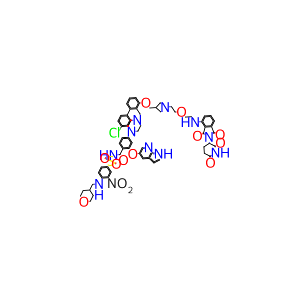 O=C1CCC(N2C(=O)c3cccc(NCCOCCN4CC(COc5cccc(-c6ccc(Cl)cc6)c5CN5CCN(c6ccc(C(=O)NS(=O)(=O)c7ccc(NCC8CCOCC8)c([N+](=O)[O-])c7)c(Oc7cnc8[nH]ccc8c7)c6)CC5)C4)c3C2=O)C(=O)N1